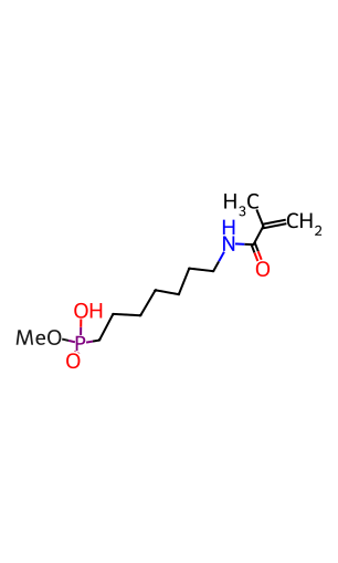 C=C(C)C(=O)NCCCCCCCP(=O)(O)OC